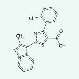 Cc1nn2ccccc2c1-c1nc(-c2ccccc2Cl)c(C(=O)O)s1